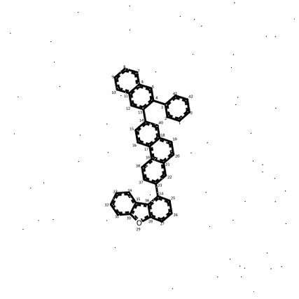 c1ccc(-c2cc3ccccc3cc2-c2ccc3c(ccc4cc(-c5cccc6oc7ccccc7c56)ccc43)c2)cc1